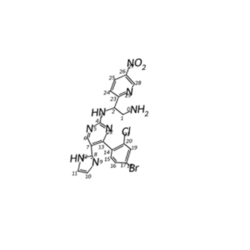 NCC(Nc1ncc(-c2ncc[nH]2)c(-c2ccc(Br)cc2Cl)n1)c1ccc([N+](=O)[O-])cn1